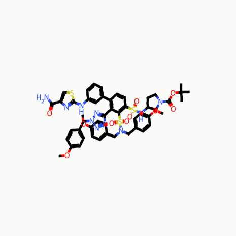 COc1ccc(CN(Cc2ccc(OC)cc2)S(=O)(=O)c2c(S(=O)(=O)NC3CCN(C(=O)OC(C)(C)C)C3)ccc(-c3cccc(Nc4nc(C(N)=O)cs4)c3)c2-c2nnn(Cc3ccc(OC)cc3)n2)cc1